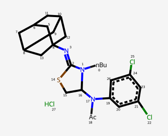 CCCCN1C(=NC23CC4CC(CC(C4)C2)C3)SCC1N(C(C)=O)c1cc(Cl)cc(Cl)c1.Cl